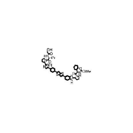 COC(=O)N[C@@H](C(=O)N1CCCC1c1nc2cc(-c3cc4sc(-c5ccc(-c6cnc(C7CCCN7C(=O)[C@@H](NC(=O)CO)C(C)C)[nH]6)cc5)cc4s3)ccc2[nH]1)c1ccccc1